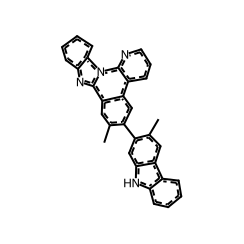 Cc1cc2c(cc1-c1cc3c4cccnc4n4c5ccccc5nc4c3cc1C)[nH]c1ccccc12